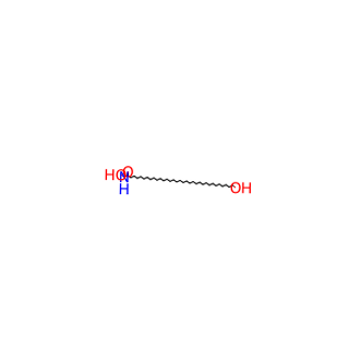 O=C(CCCCCCCCCCCCCCCCCCCCCCCCCCCCCCCCO)NO